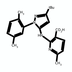 Cc1ccc(C)c(-n2nc(C(C)(C)C)cc2Nc2nc(C)ccc2C(=O)O)c1